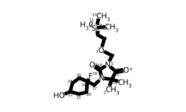 CC1(C)C(=O)N(COCC[Si](C)(C)C)C(=O)N1CC1(F)CCC(O)CC1